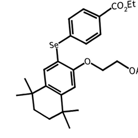 CCOC(=O)c1ccc([Se]c2cc3c(cc2OCCOC(C)=O)C(C)(C)CCC3(C)C)cc1